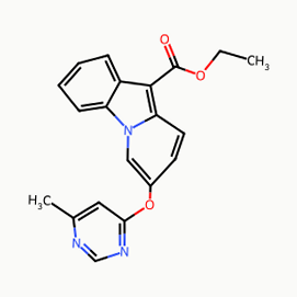 CCOC(=O)c1c2ccccc2n2cc(Oc3cc(C)ncn3)ccc12